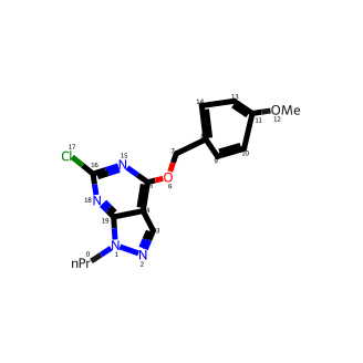 CCCn1ncc2c(OCc3ccc(OC)cc3)nc(Cl)nc21